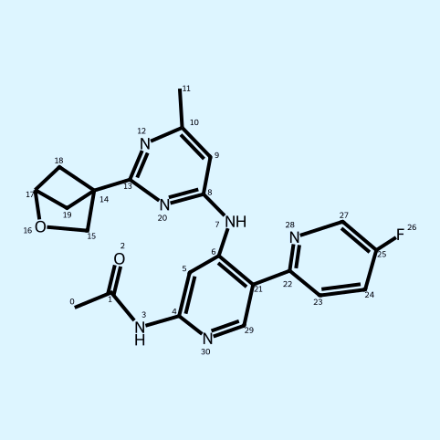 CC(=O)Nc1cc(Nc2cc(C)nc(C34COC(C3)C4)n2)c(-c2ccc(F)cn2)cn1